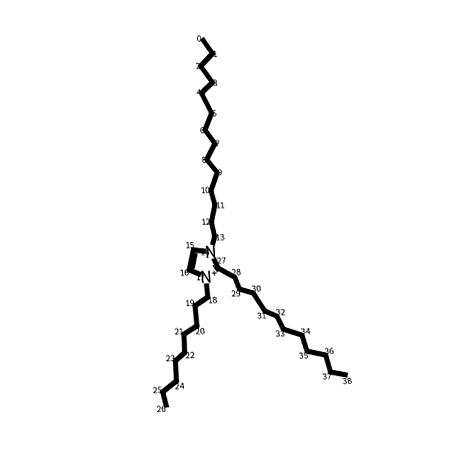 CCCCCCCCCCCCCCn1cc[n+](CCCCCCCCC)c1CCCCCCCCCCC